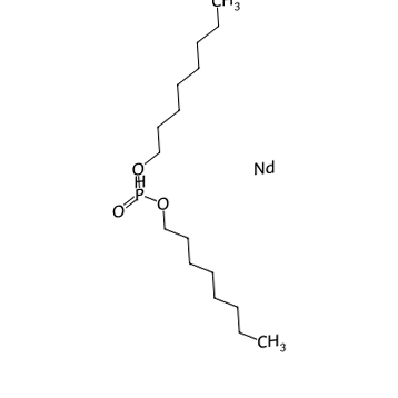 CCCCCCCCO[PH](=O)OCCCCCCCC.[Nd]